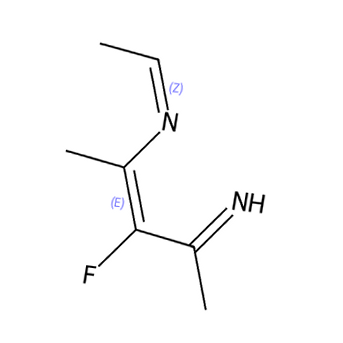 C/C=N\C(C)=C(\F)C(C)=N